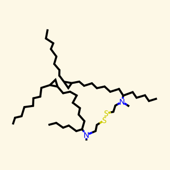 CCCCCCCCC1CC1CCCCCCCC(CCCCC)N(C)CCSSCCN(C)C(CCCCC)CCCCCCCC1CC1CCCCCCCC